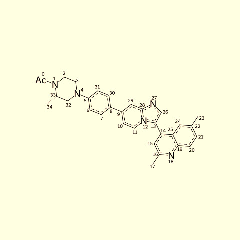 CC(=O)N1CCN(c2ccc(-c3ccn4c(-c5cc(C)nc6ccc(C)cc56)cnc4c3)cc2)C[C@@H]1C